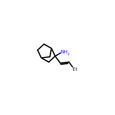 CC/C=C/C1(N)CC2CCC1C2